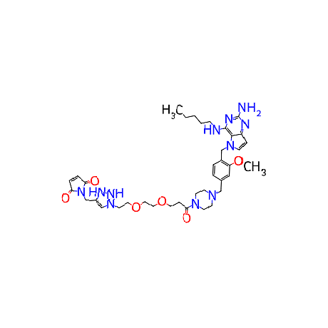 CCCCCNc1nc(N)nc2ccn(Cc3ccc(CN4CCN(C(=O)CCOCCOCCN5C=C(CN6C(=O)C=CC6=O)NN5)CC4)cc3OC)c12